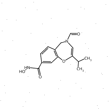 CC(C)C1=CN(C=O)Cc2ccc(C(=O)NO)cc2O1